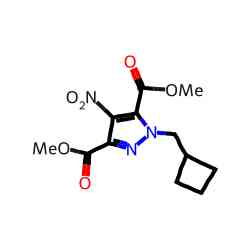 COC(=O)c1nn(CC2CCC2)c(C(=O)OC)c1[N+](=O)[O-]